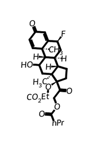 CCCC(=O)OCC(=O)[C@@]1(OC(=O)OCC)CC[C@H]2[C@@H]3C[C@H](F)C4=CC(=O)C=C[C@]4(C)[C@H]3C(O)C[C@@]21C